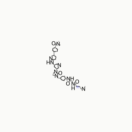 CN(C)C/C=C/C(=O)NCC(=O)Nc1ccc(CN2CCN(c3cncc(Nc4ccc(-c5ccc(C(=O)N(C)C)cc5)cn4)c3)C2=O)cc1